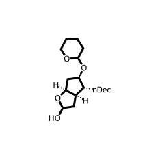 CCCCCCCCCC[C@@H]1[C@H]2CC(O)O[C@H]2C[C@H]1OC1CCCCO1